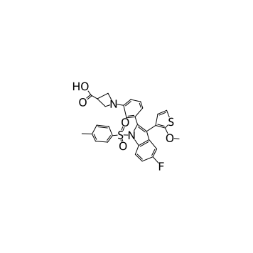 COc1sccc1-c1c(-c2cccc(N3CC(C(=O)O)C3)c2)n(S(=O)(=O)c2ccc(C)cc2)c2ccc(F)cc12